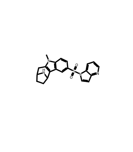 Cn1c2c(c3cc(S(=O)(=O)n4ccc5ncccc54)ccc31)C1CCC(C2)N1